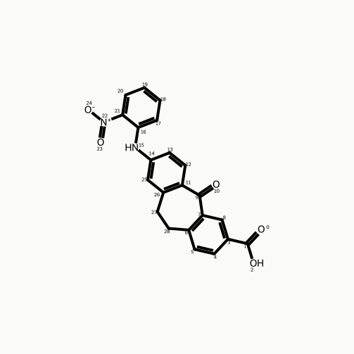 O=C(O)c1ccc2c(c1)C(=O)c1ccc(Nc3ccccc3[N+](=O)[O-])cc1CC2